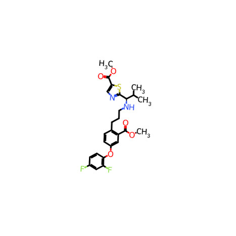 COC(=O)c1cnc([C@H](NCCCc2ccc(Oc3ccc(F)cc3F)cc2C(=O)OC)C(C)C)s1